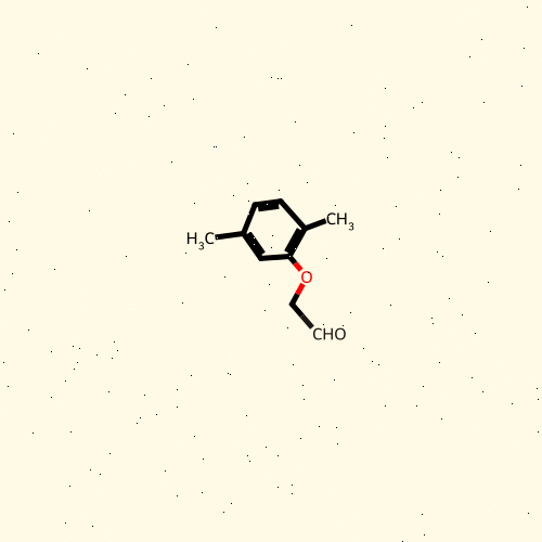 Cc1ccc(C)c(OCC=O)c1